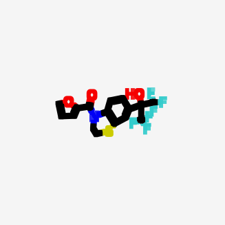 O=C(c1ccco1)N1CCSc2cc(C(O)(C(F)(F)F)C(F)(F)F)ccc21